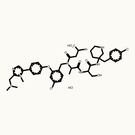 CC(C)C(CC(=O)N(Cc1ccc(Cl)cc1Oc1ccc(-c2cnc(CN(C)C)n2C)cc1)C(C)C(=O)NC(CO)C(=O)NC1(Cc2ccc(Cl)cc2)CCCNC1)C(=O)O.Cl